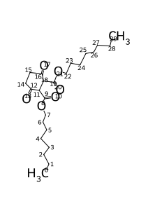 CCCCCCCCOC(=O)C1C(=O)CCC(=O)C1C(=O)OCCCCCCCC